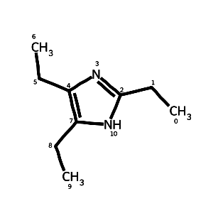 CCc1nc(CC)c(CC)[nH]1